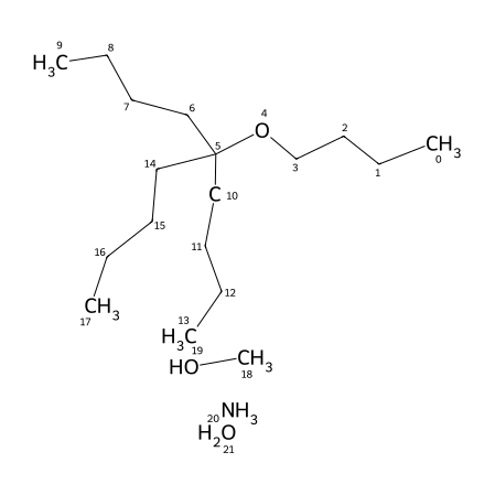 CCCCOC(CCCC)(CCCC)CCCC.CO.N.O